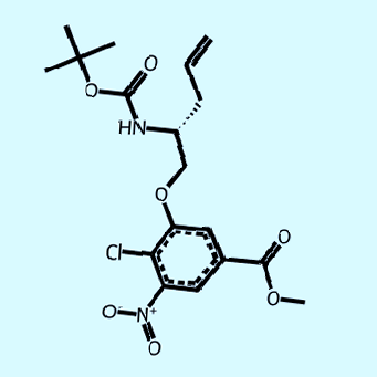 C=CC[C@H](COc1cc(C(=O)OC)cc([N+](=O)[O-])c1Cl)NC(=O)OC(C)(C)C